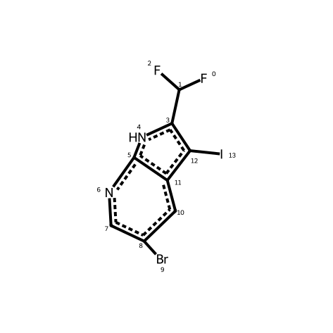 FC(F)c1[nH]c2ncc(Br)cc2c1I